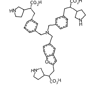 O=C(O)C(Cc1cccc(CN(Cc2cccc(CC(C(=O)O)C3CCNC3)c2)Cc2ccc3oc(CC(C(=O)O)C4CCNC4)cc3c2)c1)C1CCNC1